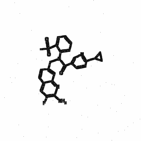 CS(=O)(=O)c1ccccc1N(Cc1ccc2cc(F)c(N)nc2c1)C(=O)c1ccc(C2CC2)nc1